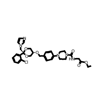 CCOC(=O)CNC(=O)N1CCN(c2ccc(CO[C@H]3CO[C@@](Cn4ccnc4)(c4ccccc4Cl)OC3)cc2)CC1